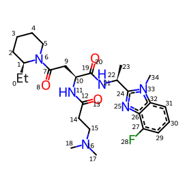 CC[C@H]1CCCCN1C(=O)C[C@H](NC(=O)CCN(C)C)C(=O)N[C@@H](C)c1nc2c(F)cccc2n1C